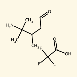 CC(CC=O)C(C)(C)N.O=C(O)C(F)(F)F